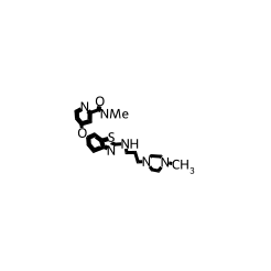 CNC(=O)c1cc(Oc2ccc3nc(NCCCN4CCN(C)CC4)sc3c2)ccn1